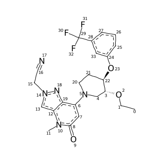 CCO[C@@H]1CN(c2cc(=O)n(C)c3cn(CC#N)nc23)CC[C@H]1Oc1cccc(C(F)(F)F)c1